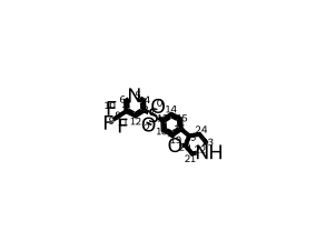 O=S(=O)(c1cncc(C(F)(F)F)c1)c1ccc2c(c1)OC1CNCCC21